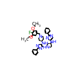 CCOc1cc(CN2CCC(Nc3cnc(-c4ccccc4)nc3)CC2)cc(OCC)c1F.c1ccc(-c2ncc(NC3CCNCC3)cn2)cc1